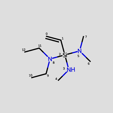 C=C[Si](NC)(N(C)C)N(CC)CC